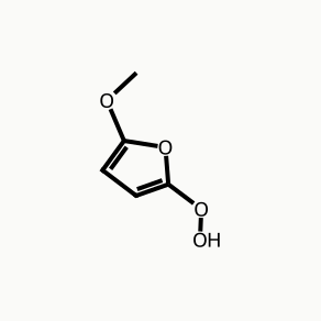 COc1ccc(OO)o1